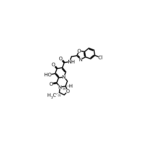 C[C@H]1CO[C@@H]2Cn3cc(C(=O)NCc4nc5cc(Cl)ccc5o4)c(=O)c(O)c3C(=O)N12